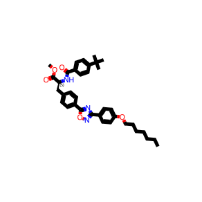 CCCCCCCOc1ccc(-c2noc(-c3ccc(C[C@H](NC(=O)c4ccc(C(C)(C)C)cc4)C(=O)OC)cc3)n2)cc1